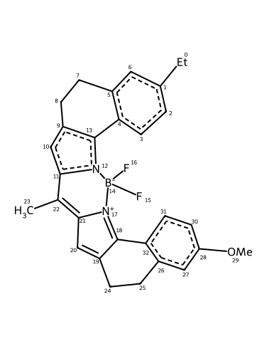 CCc1ccc2c(c1)CCc1cc3n(c1-2)[B-](F)(F)[N+]1=C2C(=CC1=C3C)CCc1cc(OC)ccc12